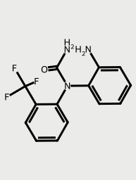 NC(=O)N(c1ccccc1N)c1ccccc1C(F)(F)F